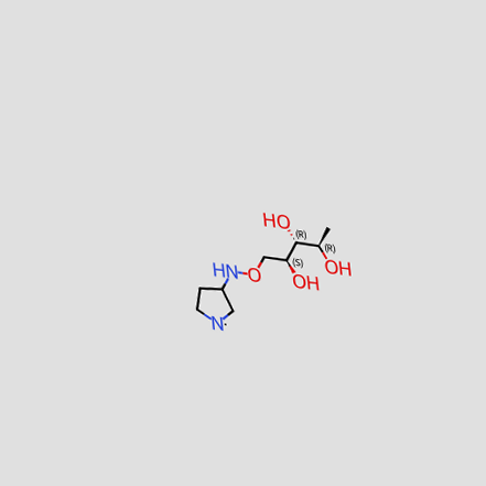 C[C@@H](O)[C@@H](O)[C@@H](O)CONC1CC[N]C1